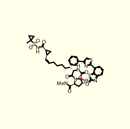 CNC(=O)[C@@H]1C[C@@H](Oc2nc3cccc(-c4nc(-c5ccccc5)cs4)c3s2)CN1C(=O)[C@H](CCCCC/C=C\[C@@H]1C[C@@H]1C(=O)NS(=O)(=O)C1(C)CC1)NC(=O)OC(C)(C)C